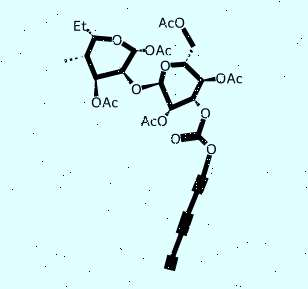 C#CC#CC#COC(=O)O[C@@H]1[C@H](OC(C)=O)[C@@H](O[C@@H]2[C@@H](OC(C)=O)O[C@@H](CC)[C@@H](C)[C@@H]2OC(C)=O)O[C@H](COC(C)=O)[C@H]1OC(C)=O